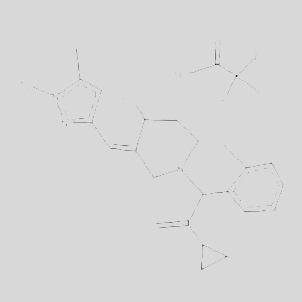 CC(=O)n1nc(C=C2CN(C(C(=O)C3CC3)c3ccccc3F)CCC2S)cc1C.O=C(O)C(F)(F)F